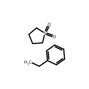 CCc1ccccc1.O=S1(=O)CCCC1